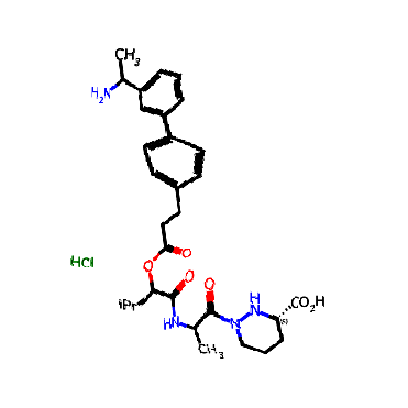 CC(NC(=O)C(OC(=O)CCc1ccc(-c2cccc(C(C)N)c2)cc1)C(C)C)C(=O)N1CCC[C@@H](C(=O)O)N1.Cl